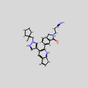 CC1(Cn2cc(-c3cc4c(nc3-c3ccc5c(c3)C(=O)N(CCC#N)C5)CCC4)cn2)CCCC1